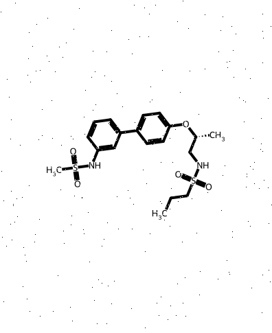 CCCS(=O)(=O)NC[C@@H](C)Oc1ccc(-c2cccc(NS(C)(=O)=O)c2)cc1